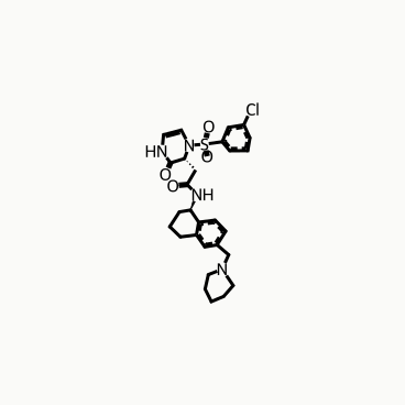 O=C(C[C@@H]1C(=O)NC=CN1S(=O)(=O)c1cccc(Cl)c1)N[C@@H]1CCCc2cc(CN3CCCCC3)ccc21